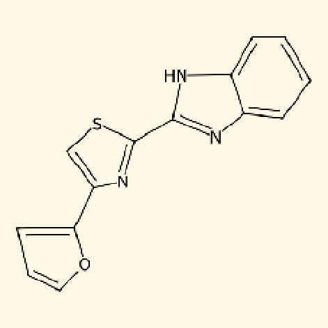 c1coc(-c2csc(-c3nc4ccccc4[nH]3)n2)c1